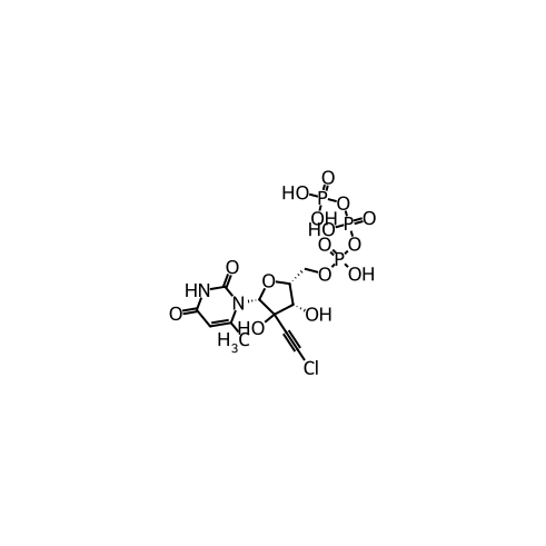 Cc1cc(=O)[nH]c(=O)n1[C@@H]1O[C@H](COP(=O)(O)OP(=O)(O)OP(=O)(O)O)[C@H](O)C1(O)C#CCl